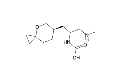 CNCC(C[C@H]1CCC2(CC2)OC1)NC(=O)O